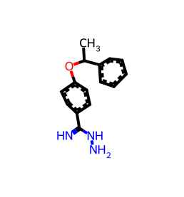 CC(Oc1ccc(C(=N)NN)cc1)c1ccccc1